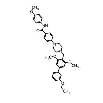 CCOc1cccc(-c2cc(OC)c(CN3CCN(c4ccc(C(=O)Nc5ccc(OC)cc5)cc4)CC3)c(OC)c2)c1